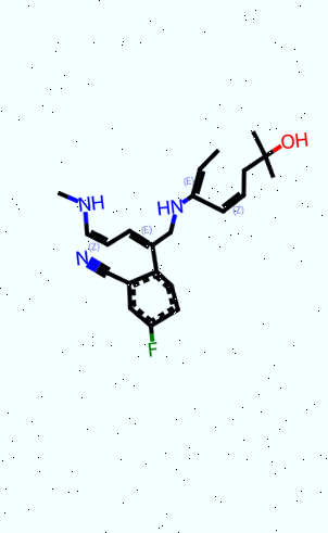 C/C=C(\C=C/CC(C)(C)O)NC/C(=C/C=C\NC)c1ccc(F)cc1C#N